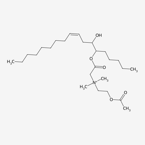 CCCCCCCC/C=C\CC(O)C(CCCCC)OC(=O)C[N+](C)(C)CCOC(C)=O